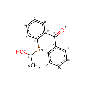 CC(O)Sc1ccccc1C(=O)c1ccccc1